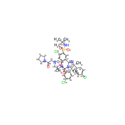 CCOc1cc(Cl)c(S(=O)(=O)NC(C)(C)C)cc1C1=N[C@@](C)(C2C=CC(Cl)=CC2)[C@@](C)(c2ccc(Cl)cc2)N1C(=O)N1CCN(CC(=O)N2CCCC2)CC1